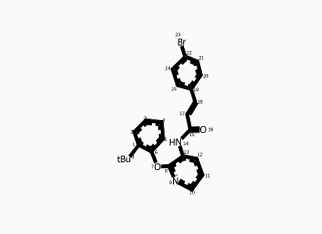 CC(C)(C)c1ccccc1Oc1ncccc1NC(=O)/C=C/c1ccc(Br)cc1